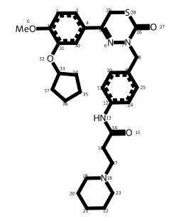 COc1ccc(C2=NN(Cc3ccc(NC(=O)CCN4CCCCC4)cc3)C(=O)SC2)cc1OC1CCCC1